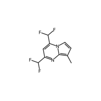 Cc1ccn2c(C(F)F)cc(C(F)F)nc12